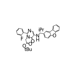 CC(C)[C@@H](Nc1cnc(-c2ccccc2F)n(CC(=O)OC(C)(C)C)c1=O)c1ccc2oc3ccccc3c2c1